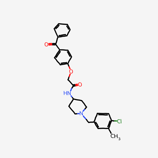 Cc1cc(CN2CCC(NC(=O)COc3ccc(C(=O)c4ccccc4)cc3)CC2)ccc1Cl